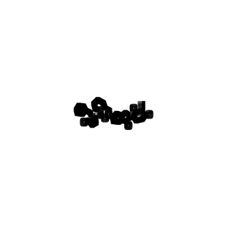 O=C1CCC(N2Cc3cc(OC[C@@H]4CCCCN4C(=O)[C@@H]4CCC(=O)N4Cc4ccccc4)ccc3C2=O)C(=O)N1